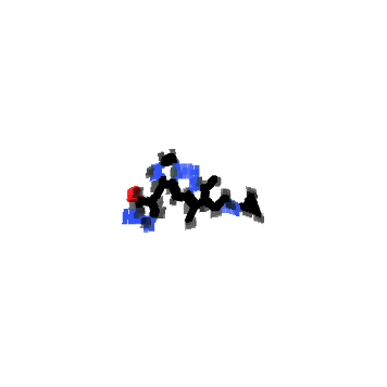 Cc1[nH]c(C=C2NC=CN=C2C2C=NNC2=O)c(C)c1CCNC1CC1